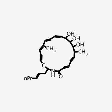 CCC/C=C/CC1C/C=C/C=C(C)/C=C/C=C\C(O)C(O)C(O)C(C)/C=C/C=C/C(=O)N1